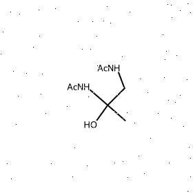 CC(=O)NCC(C)(O)NC(C)=O